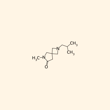 CC(C)CN1CC2(CC(=O)N(C)C2)C1